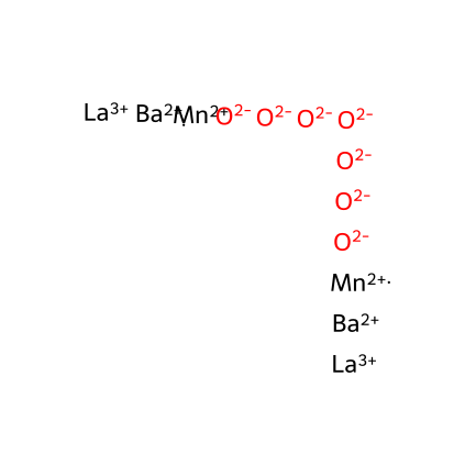 [Ba+2].[Ba+2].[La+3].[La+3].[Mn+2].[Mn+2].[O-2].[O-2].[O-2].[O-2].[O-2].[O-2].[O-2]